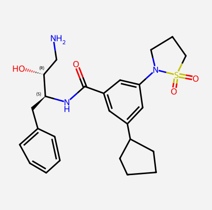 NC[C@@H](O)[C@H](Cc1ccccc1)NC(=O)c1cc(C2CCCC2)cc(N2CCCS2(=O)=O)c1